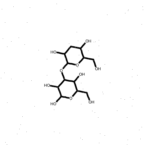 OCC1OC(OC2C(O)C(O)OC(CO)C2O)C(O)CC1O